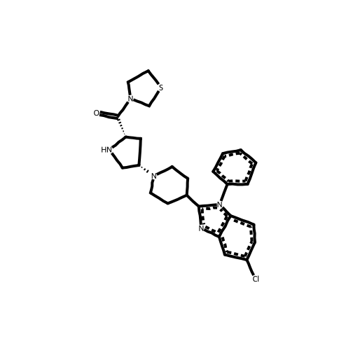 O=C([C@@H]1C[C@H](N2CCC(c3nc4cc(Cl)ccc4n3-c3ccccc3)CC2)CN1)N1CCSC1